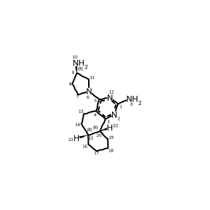 Nc1nc2c(c(N3CC[C@@H](N)C3)n1)CC[C@H]1CCCC[C@@H]21